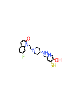 O=c1ccc2ccc(F)cc2n1CCN1CCC(NCc2cc(S)c(O)cn2)CC1